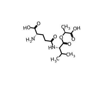 CC(C)[C@H](NC(=O)CC[C@H](N)C(=O)O)C(=O)O[C@@H](C)C(=O)O